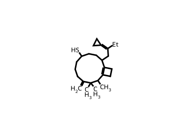 C=C1CCCC(S)CCC(CC(CC)=C2CC2)C2=C(CC2)C(C)C1(C)C